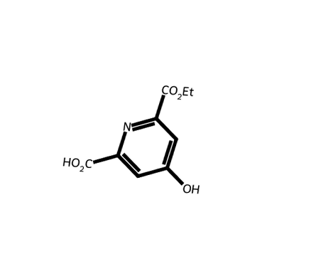 CCOC(=O)c1cc(O)cc(C(=O)O)n1